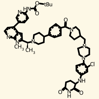 C[C@@H](c1cc2c(-c3ccc(NC(=O)OC(C)(C)C)nc3)ccnc2n1C)N1CCC(c2ccc(C(=O)N3CCC(CN4CCN(c5ccc(NC6CCC(=O)NC6=O)cc5Cl)CC4)CC3)cc2)CC1